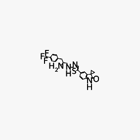 N[C@H](CNc1ncc(-c2ccc3c(c2)C2(CC2)C(=O)N3)s1)Cc1ccc(C(F)(F)F)cc1